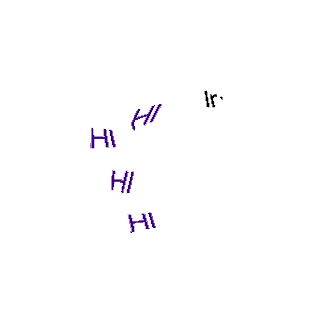 I.I.I.I.[Ir]